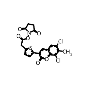 Cc1c(Cl)cc2cc(-c3ccc(CC(=O)ON4C(=O)CCC4=O)s3)c(=O)oc2c1Cl